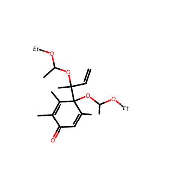 C=CC(C)(OC(C)OCC)C1(OC(C)OCC)C(C)=CC(=O)C(C)=C1C